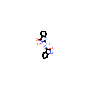 O=C1Nc2ccccc2/C1=N/Nc1nc2ccccc2c(=O)n1O